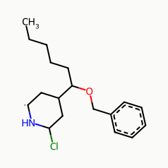 CCCCCC(OCc1ccccc1)C1C[CH]NC(Cl)C1